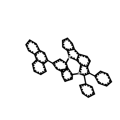 c1ccc(-c2c(-c3ccccc3)n(-c3ccccc3)c3c2ccc2c4ccccc4n(-c4cccc(-c5cc6ccccc6c6ccccc56)c4)c23)cc1